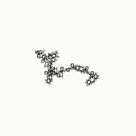 CC[C@@]1(O)C(=O)OCc2c1cc1n(c2=O)Cc2c-1nc1cc(F)c(C)c3c1c2[C@@H](NCNC(=O)CNC(=O)[C@H](Cc1ccccc1)NC(=O)CNC(=O)CNC(=O)CCOCCC(=O)N1CCC2(CCC(C(=O)NCCC(=O)N4Cc5ccccc5/C=C\c5ccccc54)CC2)CC1)CC3